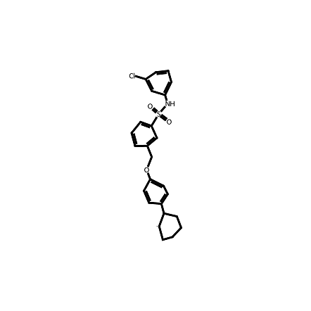 O=S(=O)(Nc1cccc(Cl)c1)c1cccc(COc2ccc(C3[CH]CCCC3)cc2)c1